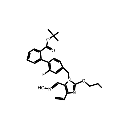 C=Cc1nc(OCCC)n(Cc2ccc(-c3ccccc3C(=O)OC(C)(C)C)c(F)c2)c1C=NO